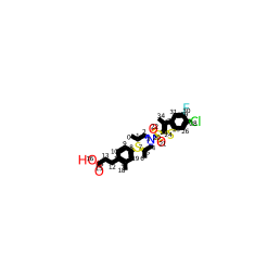 CCCN(CC(C)Sc1ccc(CCC(=O)O)c(C)c1)S(=O)(=O)c1sc2cc(Cl)c(F)cc2c1C